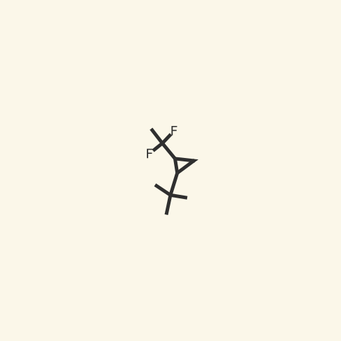 CC(C)(C)C1CC1C(C)(F)F